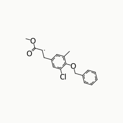 COC(=O)[CH]Cc1cc(C)c(OCc2ccccc2)c(Cl)c1